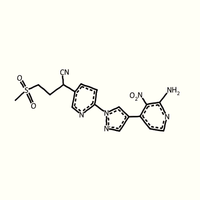 CS(=O)(=O)CCC(C#N)c1ccc(-n2cc(-c3ccnc(N)c3[N+](=O)[O-])cn2)nc1